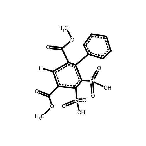 [Li][c]1c(C(=O)OC)c(-c2ccccc2)c(S(=O)(=O)O)c(S(=O)(=O)O)c1C(=O)OC